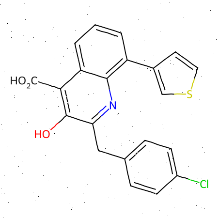 O=C(O)c1c(O)c(Cc2ccc(Cl)cc2)nc2c(-c3ccsc3)cccc12